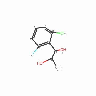 CC(O)C(O)c1c(F)cccc1Cl